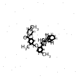 Cc1ccc(OCc2ccc(C(=O)N3CCN(C)CC3)cc2C)c(-c2csc(N3C[C@H]4CCC[C@@H](C3)[C@H]4C(=O)O)n2)c1